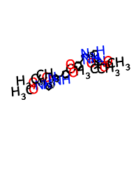 COC(=O)N[C@H](C(=O)N1CCC[C@H]1c1ncc(-c2ccc3c(c2)COc2cc(-c4cnc([C@@H]5CCCN5C(=O)[C@@H](NC(=O)OC)C(C)C)[nH]4)ccc2O3)[nH]1)C(C)C